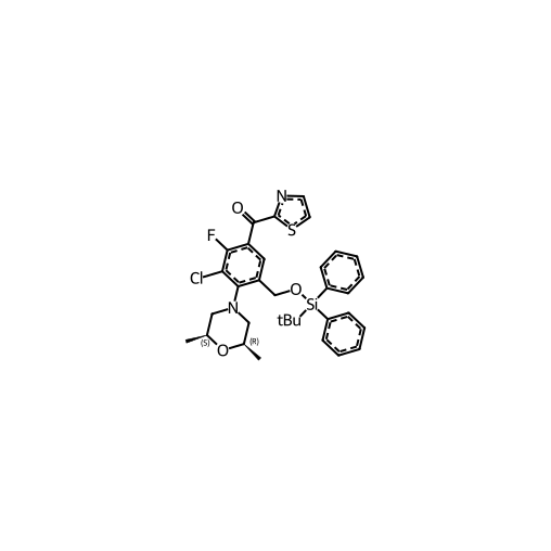 C[C@@H]1CN(c2c(CO[Si](c3ccccc3)(c3ccccc3)C(C)(C)C)cc(C(=O)c3nccs3)c(F)c2Cl)C[C@H](C)O1